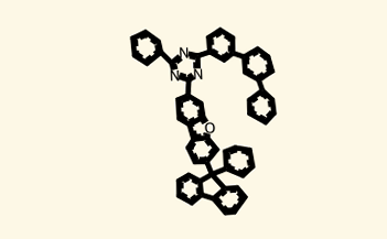 c1ccc(-c2cccc(-c3cccc(-c4nc(-c5ccccc5)nc(-c5ccc6c(c5)oc5cc(C7(c8ccccc8)c8ccccc8-c8ccccc87)ccc56)n4)c3)c2)cc1